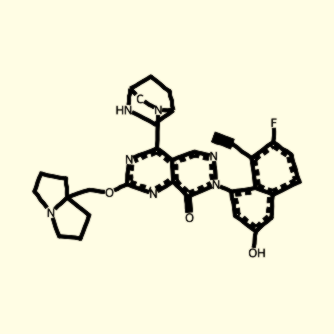 C#Cc1c(F)ccc2cc(O)cc(-n3ncc4c(N5CC6CCC5CN6)nc(OCC56CCCN5CCC6)nc4c3=O)c12